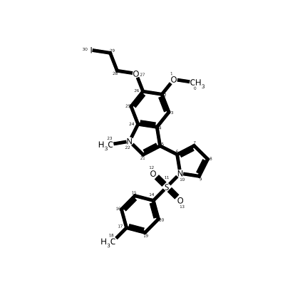 COc1cc2c(-c3cccn3S(=O)(=O)c3ccc(C)cc3)cn(C)c2cc1OCCI